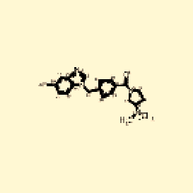 CN(C)C1CCN(C(=O)c2ccc(Cn3cnc4cc(F)ccc43)cc2)C1